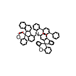 c1ccc(-c2ccc(-c3ccccc3N(c3ccc4c(c3)C3(c5ccccc5Oc5ccccc53)c3ccccc3-4)c3cccc4c3-c3ccc5ccccc5c3C43c4ccccc4Oc4ccccc43)cc2)cc1